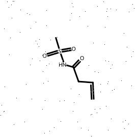 [CH2]S(=O)(=O)NC(=O)CC=C